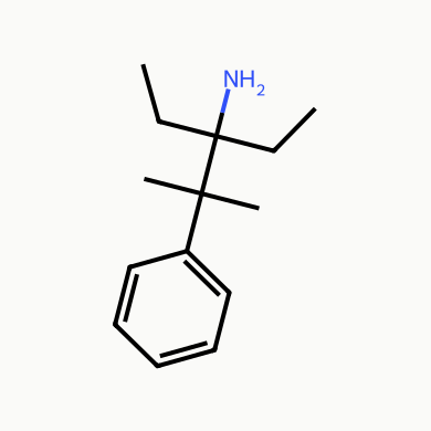 CCC(N)(CC)C(C)(C)c1ccccc1